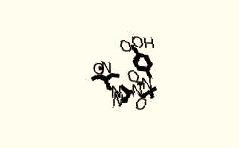 Cc1noc(C)c1Cn1cc(N2C(=O)N(Cc3ccc(C(=O)O)cc3)C(C)(C)C2=O)cn1